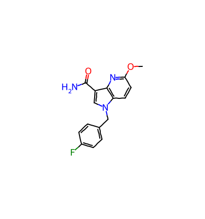 COc1ccc2c(n1)c(C(N)=O)cn2Cc1ccc(F)cc1